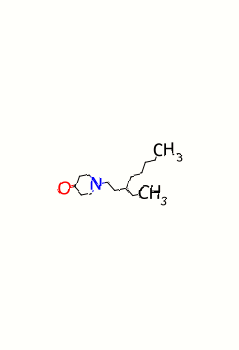 CCCCCC(CC)CCN1CCC(=O)CC1